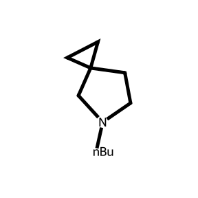 CCCCN1CCC2(CC2)C1